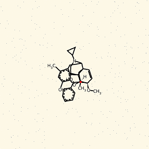 CO[C@]12C=CC3(CC1(C)[C@H](O)c1ccccc1)C1Cc4c(C)cc(O)c5c4[C@@]3(CCN1C1CC1)[C@@H]2O5